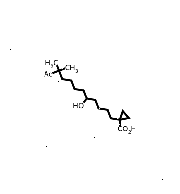 CC(=O)C(C)(C)CCCCC(O)CCCCC1(C(=O)O)CC1